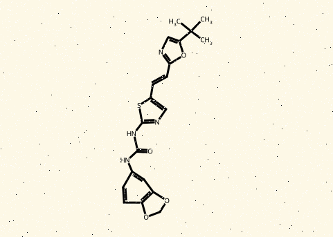 CC(C)(C)c1cnc(C=Cc2cnc(NC(=O)Nc3ccc4c(c3)OCO4)s2)o1